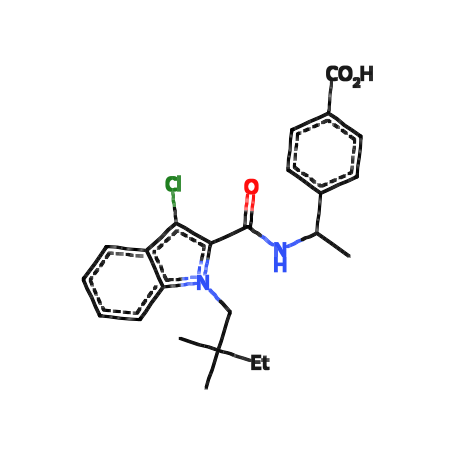 CCC(C)(C)Cn1c(C(=O)NC(C)c2ccc(C(=O)O)cc2)c(Cl)c2ccccc21